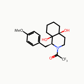 COc1ccc(C[C@@H]2N(C(=O)C(F)(F)F)CC[C@@]3(O)CCCCC23O)cc1